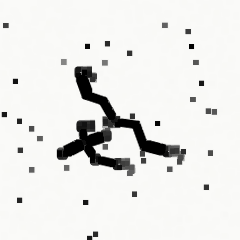 C=CCNCC=C.COS(=O)(=O)O